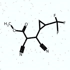 COC(=O)C(C#N)C(C#N)C1CC1C(F)(F)F